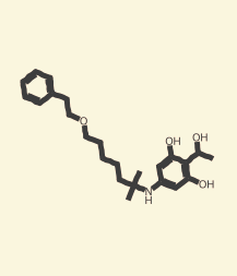 CC(O)c1c(O)cc(NC(C)(C)CCCCCOCCc2ccccc2)cc1O